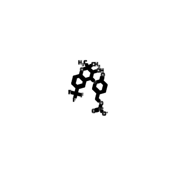 CC1(C)Oc2ccc(C(F)(F)F)cc2C(n2cc(CO[N+](=O)[O-])ccc2=O)C1O